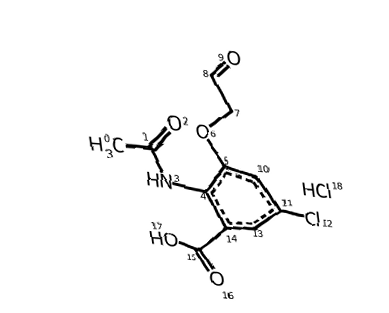 CC(=O)Nc1c(OCC=O)cc(Cl)cc1C(=O)O.Cl